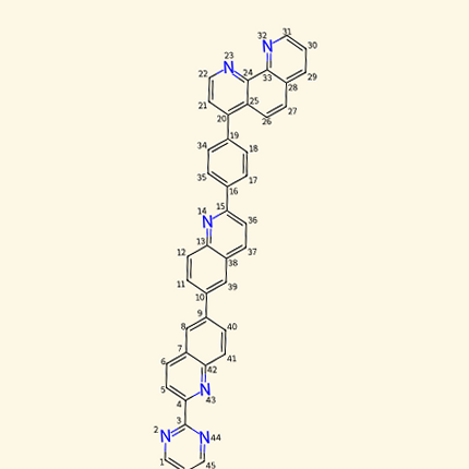 c1cnc(-c2ccc3cc(-c4ccc5nc(-c6ccc(-c7ccnc8c7ccc7cccnc78)cc6)ccc5c4)ccc3n2)nc1